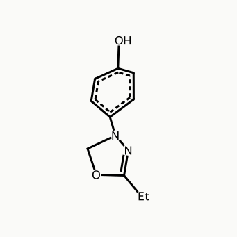 CCC1=NN(c2ccc(O)cc2)CO1